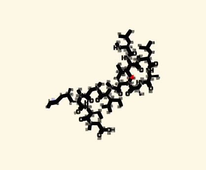 C/C=C/C[C@@H](C)C[C@@H](C(=O)N[C@@H](CC)C(=O)N(C)CC(=O)O)N(C)C(=O)CN(C)C(=O)[C@H](C(CC)C(C)C)N(C)C(=O)[C@H](CC(C)C)N(C)C(=O)[C@@H](C)NC(=O)[C@H](C)NC(=O)[C@H](CC(C)C)N(C)C(=O)C(NC(=O)[C@H](CC(C)C)NC)C(C)C